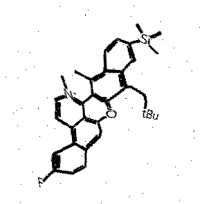 Cc1c2c(c(CC(C)(C)C)c3cc([Si](C)(C)C)ccc13)Oc1cc3ccc(F)cc3c3cc[n+](C)c-2c13